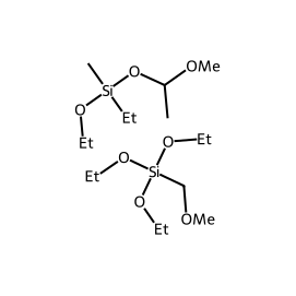 CCO[Si](C)(CC)OC(C)OC.CCO[Si](COC)(OCC)OCC